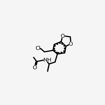 CC(=O)NC(C)Cc1cc2c(cc1CCl)OCO2